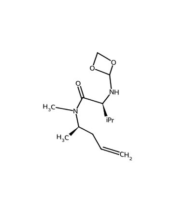 C=CC[C@@H](C)N(C)C(=O)[C@@H](NC1OCO1)C(C)C